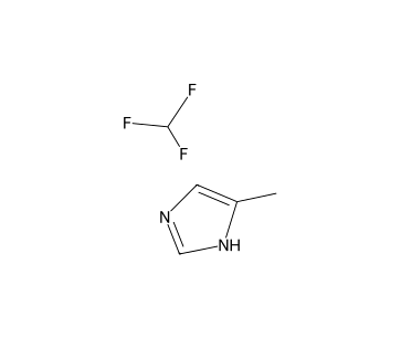 Cc1cnc[nH]1.FC(F)F